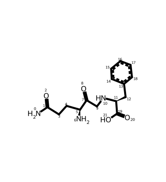 NC(=O)CC[C@H](N)C(=O)CN[C@@H](Cc1ccccc1)C(=O)O